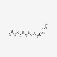 CCCC=C=CCCCCCCCCCC